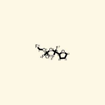 FCOC(F)(OC(F)(F)C1CCCO1)C(F)(F)F